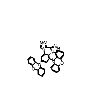 c1ccc2c(c1)Oc1ccccc1N2c1cc(N2c3ccccc3Oc3ccccc32)c2c(c1)n1cnnc1c1nncn12